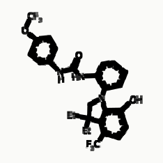 CCC1(CC)CN(c2ccccc2NC(=O)Nc2ccc(OC(F)(F)F)cc2)c2c(O)ccc(C(F)(F)F)c21